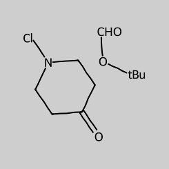 CC(C)(C)OC=O.O=C1CCN(Cl)CC1